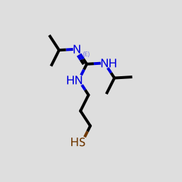 CC(C)/N=C(\NCCCS)NC(C)C